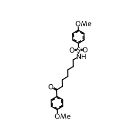 COc1ccc(C(=O)CCCCCCNS(=O)(=O)c2ccc(OC)cc2)cc1